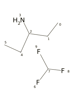 CCC(N)CC.FC(F)F